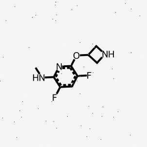 CNc1nc(OC2CNC2)c(F)cc1F